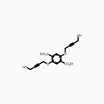 CCOC(=O)c1cc(OCC#CCO)c(C(=O)OCC)cc1OCC#CCO